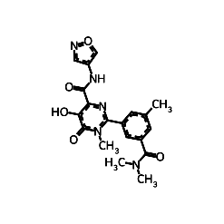 Cc1cc(C(=O)N(C)C)cc(-c2nc(C(=O)Nc3cnoc3)c(O)c(=O)n2C)c1